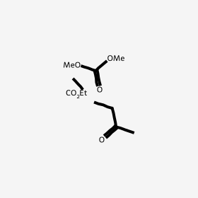 CCC(C)=O.CCOC(C)=O.COC(=O)OC